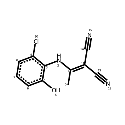 CC(Nc1c(O)cccc1Cl)=C(C#N)C#N